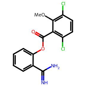 COc1c(Cl)ccc(Cl)c1C(=O)Oc1ccccc1C(=N)N